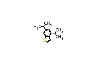 CC(C)c1cc(C(C)C)c2ccsc2c1